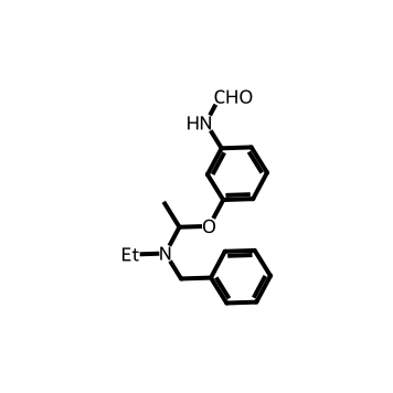 CCN(Cc1ccccc1)C(C)Oc1cccc(NC=O)c1